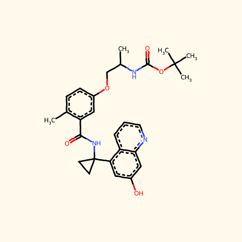 Cc1ccc(OCC(C)NC(=O)OC(C)(C)C)cc1C(=O)NC1(c2cc(O)cc3ncccc23)CC1